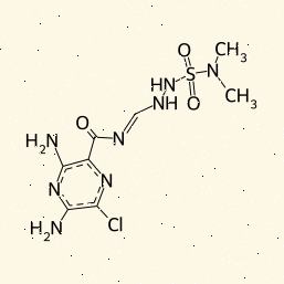 CN(C)S(=O)(=O)NNC=NC(=O)c1nc(Cl)c(N)nc1N